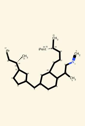 C=NCC(C)C1CCC(CC2CCC([C@@H](C)CC(C)C)C2)CC1CCCC(C)[C@@H](C)CCC